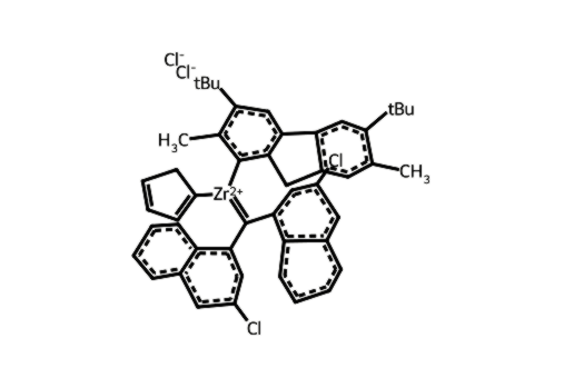 Cc1cc2c(cc1C(C)(C)C)-c1cc(C(C)(C)C)c(C)[c]([Zr+2]([C]3=CC=CC3)=[C](c3cc(Cl)cc4ccccc34)c3cc(Cl)cc4ccccc34)c1C2.[Cl-].[Cl-]